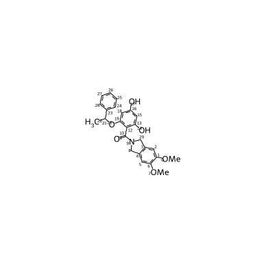 COc1cc2c(cc1OC)CN(C(=O)c1c(O)cc(O)cc1OC(C)c1ccccc1)C2